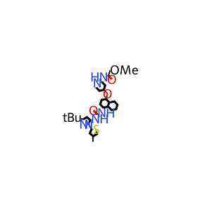 COCC(=O)Nc1cc(Oc2ccc(NC(=O)Nc3cc(C(C)(C)C)nn3-c3cc(C)cs3)c3ccccc23)ccn1